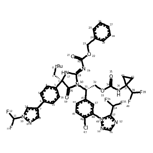 CC(C)(C)C[C@]1(c2ccc(-c3cnn(C(F)F)c3)cc2)NC(=NC(=O)OCc2ccccc2)N([C@H](COC(=O)NC2(C(F)F)CC2)c2ccc(Cl)c(-n3ncnc3C(F)F)c2)C1=O